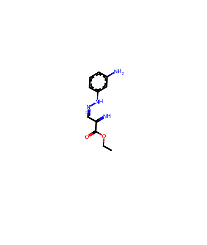 CCOC(=O)C(=N)/C=N\Nc1cccc(N)c1